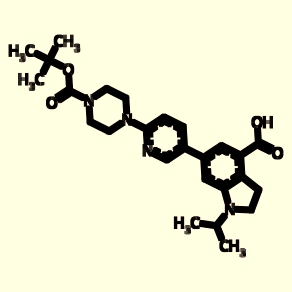 CC(C)N1CCc2c(C(=O)O)cc(-c3ccc(N4CCN(C(=O)OC(C)(C)C)CC4)nc3)cc21